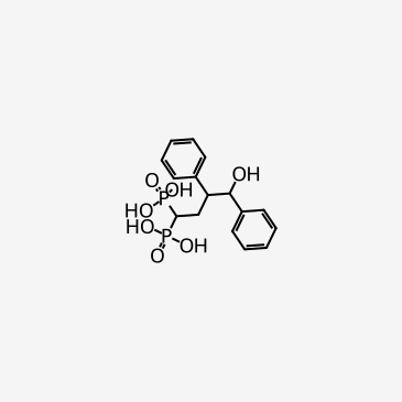 O=P(O)(O)C(CC(c1ccccc1)C(O)c1ccccc1)P(=O)(O)O